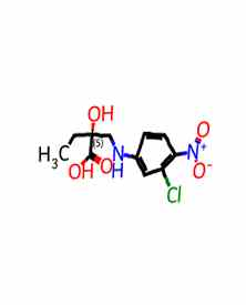 CC[C@](O)(CNc1ccc([N+](=O)[O-])c(Cl)c1)C(=O)O